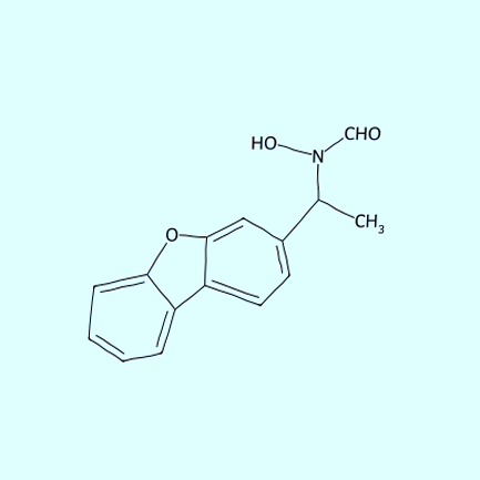 CC(c1ccc2c(c1)oc1ccccc12)N(O)C=O